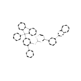 C1=CC(c2cccc(-c3nc4ccccc4s3)c2)=NC(Nc2cc(C3(c4ccccc4)c4ccccc4-c4ccccc43)ccc2-c2ccccc2)N1